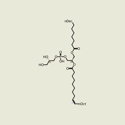 CCCCCCCC/C=C\CCCCCCCC(=O)O[C@H](COC(=O)CCCCCCCCCCCCCCCC)COP(=O)(O)OC[C@@H](O)CO